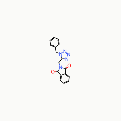 O=C1c2ccccc2C(=O)N1Cc1nnnn1Cc1ccccc1